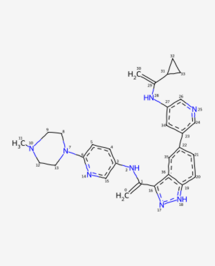 C=C(Nc1ccc(N2CCN(C)CC2)nc1)c1n[nH]c2ccc(-c3cncc(NC(=C)C4CC4)c3)cc12